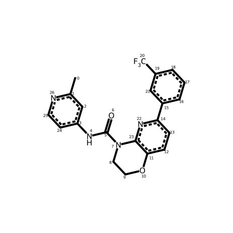 Cc1cc(NC(=O)N2CCOc3ccc(-c4cccc(C(F)(F)F)c4)nc32)ccn1